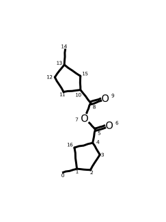 CC1CCC(C(=O)OC(=O)C2CCC(C)C2)C1